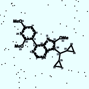 COc1ccc(-c2ncnc3c2nc(OC)n3C(C2CC2)C2CC2)c(OC)n1